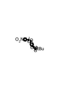 CC(C)(C)OC(=O)C=CC1(O)CCN(C(=O)OC(I)c2ccc([N+](=O)[O-])cc2)CC1